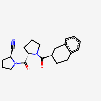 N#C[C@@H]1CCCN1C(=O)[C@@H]1CCCN1C(=O)[C@@H]1CCc2ccccc2C1